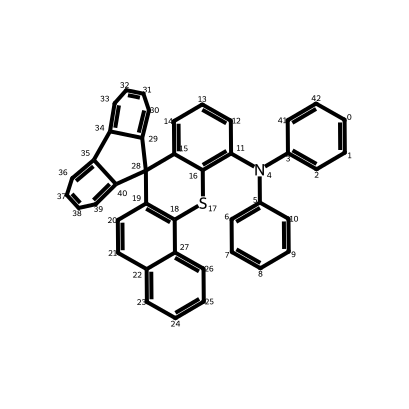 c1ccc(N(c2ccccc2)c2cccc3c2Sc2c(ccc4ccccc24)C32c3ccccc3-c3ccccc32)cc1